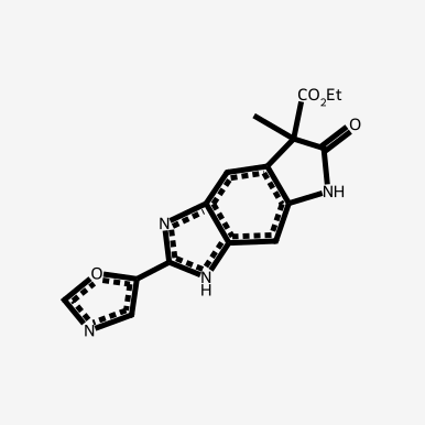 CCOC(=O)C1(C)C(=O)Nc2cc3[nH]c(-c4cnco4)nc3cc21